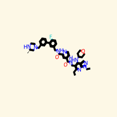 CCc1nc2c(cnn2CC)c(NC2CCOCC2)c1CNC(=O)c1ccnc(C(=O)NCc2ccc(F)c(-c3cccc(CN4CCN[C@@H](C)C4)c3)c2)c1